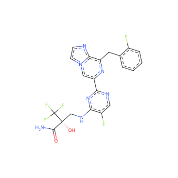 NC(=O)[C@](O)(CNc1nc(-c2cn3ccnc3c(Cc3ccccc3F)n2)ncc1F)C(F)(F)F